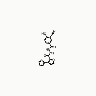 N#Cc1cc(C(=O)NNC(=O)c2occc2-c2cccs2)ccc1O